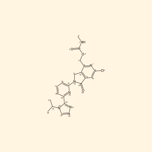 CNC(=O)OCc1nc(Cl)cc2c1CN(c1cccc(-c3nncn3C(C)C)n1)C2=O